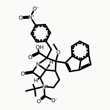 COC1(C2=CC3=Cc4cccc2c43)C2CC[N+](C(=O)[O-])(C(C)(C)C)[C@@H]3C(=O)N([C@H]23)C1(Cc1ccc([N+](=O)[O-])cc1)C(=O)O